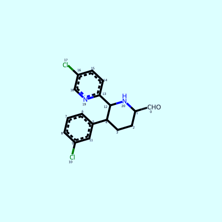 O=CC1CCC(c2cccc(Cl)c2)C(c2ccc(Cl)cn2)N1